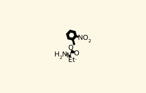 C[CH]N(N)C(=O)OCc1ccccc1[N+](=O)[O-]